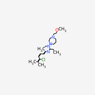 CC/C(=N/C=C/C=C\C(Cl)=C(C)C)N(CC)N1CCCN(CCOC)CC1